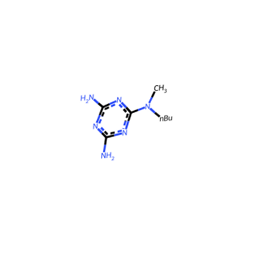 CCCCN(C)c1nc(N)nc(N)n1